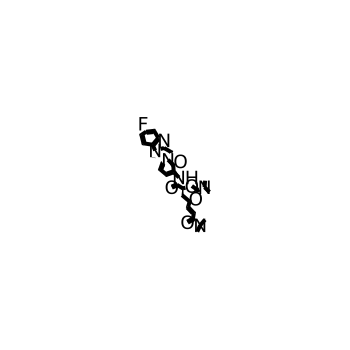 CN(C)C(=O)/C=C/CC[C@H](OC(=O)N(C)C)C(=O)Nc1cccn(Cc2nc3cc(F)ccc3n2C)c1=O